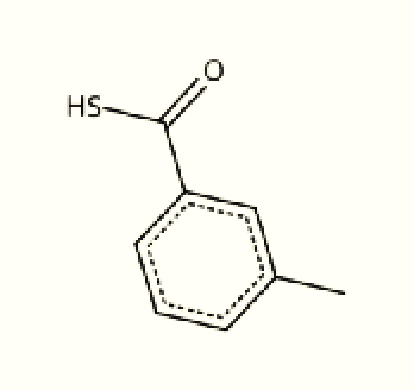 Cc1cccc(C(=O)S)c1